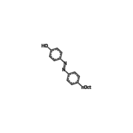 CCCCCCCCc1ccc(/N=N/c2ccc(O)cc2)cc1